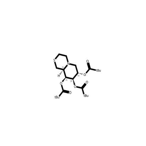 CC(C)(C)C(=O)O[C@@H]1[C@H](OC(=O)C(C)(C)C)[C@@H](OC(=O)C(C)(C)C)CN2CCSC[C@H]12